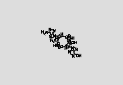 C=C1OP(=O)(S)OC[C@H]2O[C@@H](n3cnc4c(O)ncnc43)[C@H](O)[C@@H]2OP(=O)(S)OC[C@H]2C[C@@H](n3cnc4c(N)ncnc43)[C@H]12